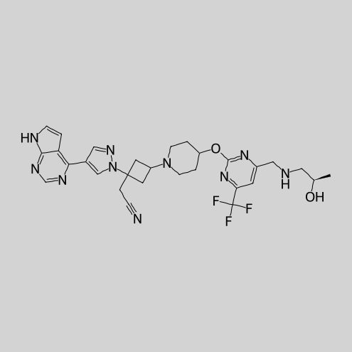 C[C@@H](O)CNCc1cc(C(F)(F)F)nc(OC2CCN(C3CC(CC#N)(n4cc(-c5ncnc6[nH]ccc56)cn4)C3)CC2)n1